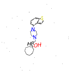 OC1(BCN2CCN(c3cccc4sccc34)CC2)CCCCCCC1